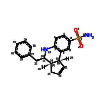 NS(=O)(=O)c1ccc2c(c1)[C@H]1C=CC[C@H]1[C@@H](Cc1ccccc1)N2